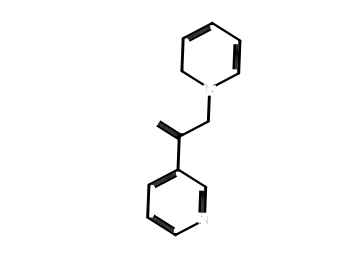 I.O=C(CN1C=CC=CC1)c1cccnc1